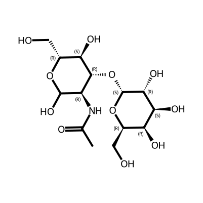 CC(=O)N[C@H]1C(O)O[C@H](CO)[C@@H](O)[C@@H]1O[C@H]1O[C@H](CO)[C@H](O)[C@H](O)[C@H]1O